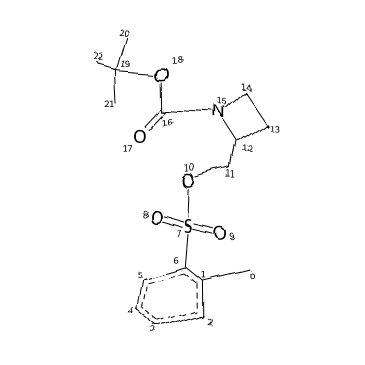 Cc1ccccc1S(=O)(=O)OCC1CCN1C(=O)OC(C)(C)C